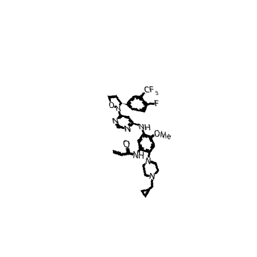 C=CC(=O)Nc1cc(Nc2cc(N3OCC[C@@H]3c3ccc(F)c(C(F)(F)F)c3)ncn2)c(OC)cc1N1CCN(CC2CC2)CC1